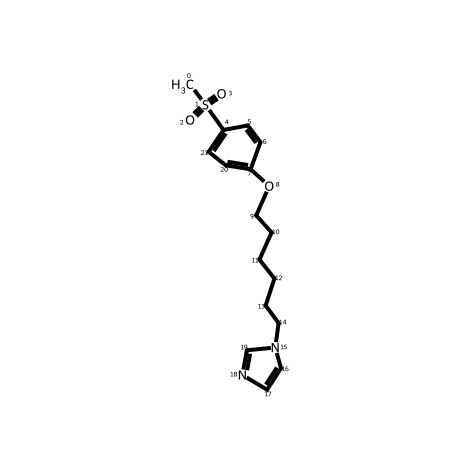 CS(=O)(=O)c1ccc(OCCCCCCn2ccnc2)cc1